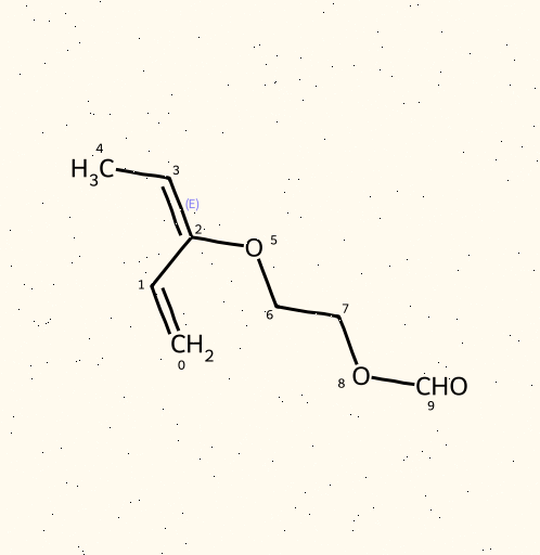 C=C/C(=C\C)OCCOC=O